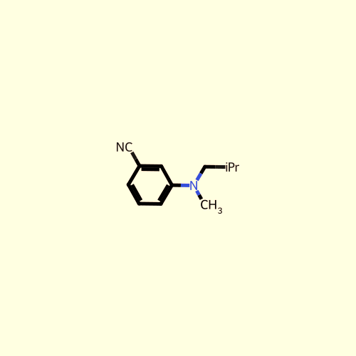 CC(C)CN(C)c1cccc(C#N)c1